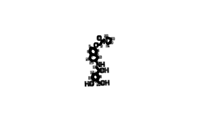 O=C(COc1ccc2c(c1)C[C@@H](NC[C@@H](O)c1ccc(O)c(CO)c1)CC2)N1CCCC1